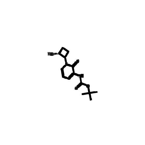 CC(C)(C)OC(=O)Nc1cccn(C2CC[C@H]2O)c1=O